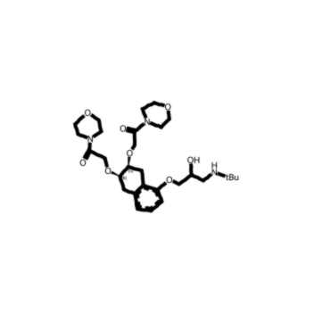 CC(C)(C)NCC(O)COc1cccc2c1C[C@H](OCC(=O)N1CCOCC1)[C@H](OCC(=O)N1CCOCC1)C2